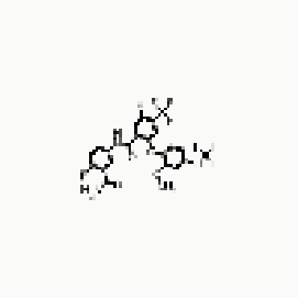 COc1cc(OC(F)(F)F)ccc1Oc1cc(C(F)(F)F)c(F)cc1C(=O)Nc1ccc(F)c(C(N)=O)c1